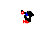 COCN1CCC(C)(O)CC2CC[C@H]21